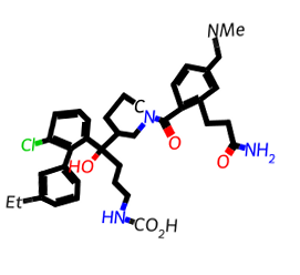 CCc1cccc(-c2c(Cl)cccc2C(O)(CCCNC(=O)O)C2CCCN(C(=O)c3ccc(CNC)cc3CCC(N)=O)C2)c1